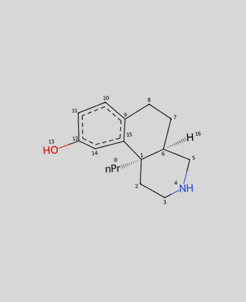 CCC[C@@]12CCNC[C@@H]1CCc1ccc(O)cc12